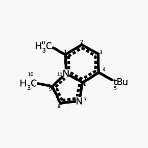 Cc1ccc(C(C)(C)C)c2ncc(C)n12